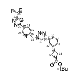 CC(C)(C)OC(=O)N1CC(c2cccc(-c3cn(Cc4ccc(-c5nnc(C(F)F)o5)cn4)nn3)c2)C1